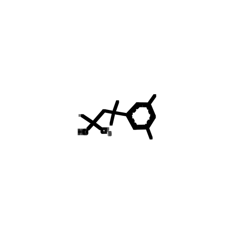 [CH2]C(O)(CC(C)(C)c1cc(C)cc(C)c1)C(F)(F)F